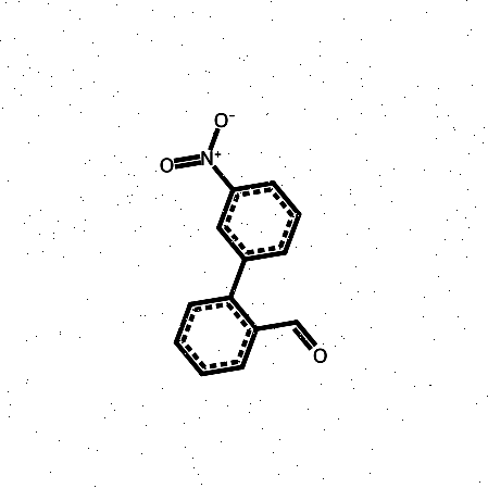 O=Cc1ccccc1-c1cccc([N+](=O)[O-])c1